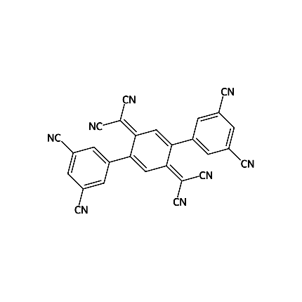 N#CC(C#N)=c1cc(-c2cc(C#N)cc(C#N)c2)c(=C(C#N)C#N)cc1-c1cc(C#N)cc(C#N)c1